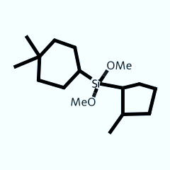 CO[Si](OC)(C1CCC(C)(C)CC1)C1CCCC1C